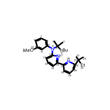 CCCCC(C)(C)N(c1cccc(OC)c1)c1cccc(-c2cccc(C(C)(C)CC)n2)n1